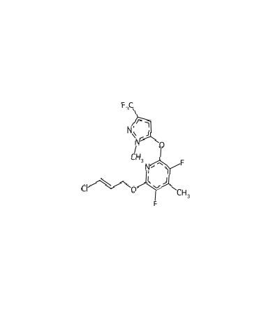 Cc1c(F)c(OCC=CCl)nc(Oc2cc(C(F)(F)F)nn2C)c1F